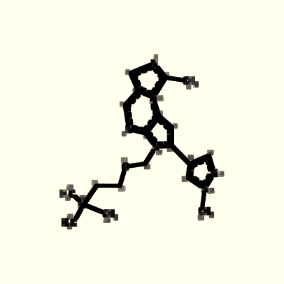 Cc1ncc2cnc3c(cc(-c4cnn(C)c4)n3COCC[Si](C)(C)C)n12